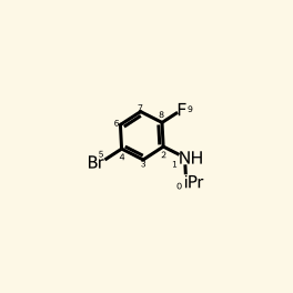 CC(C)Nc1cc(Br)ccc1F